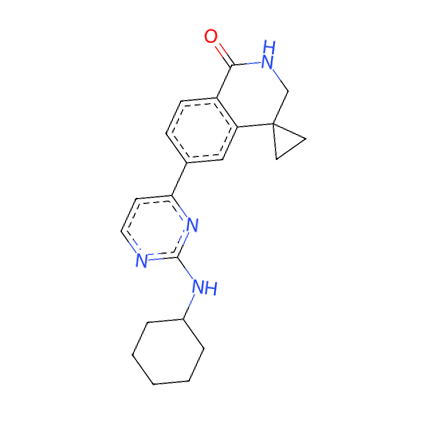 O=C1NCC2(CC2)c2cc(-c3ccnc(NC4CCCCC4)n3)ccc21